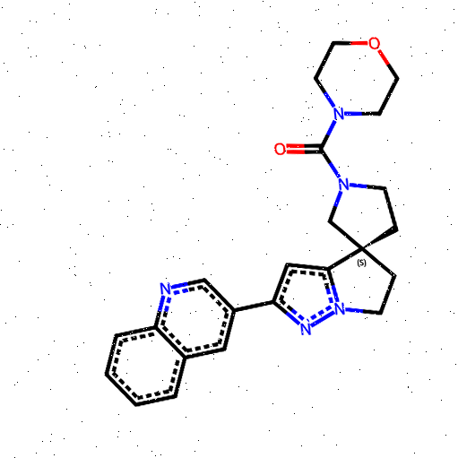 O=C(N1CCOCC1)N1CC[C@]2(CCn3nc(-c4cnc5ccccc5c4)cc32)C1